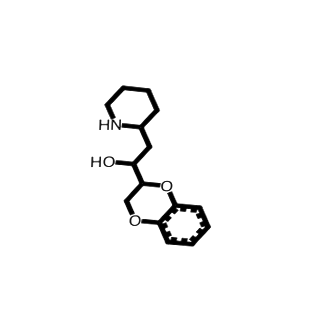 OC(CC1CCCCN1)C1COc2ccccc2O1